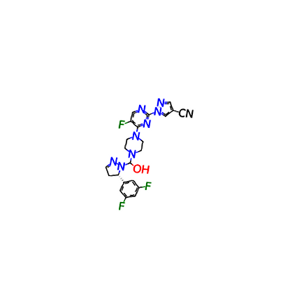 N#Cc1cnn(-c2ncc(F)c(N3CCN(C(O)N4N=CC[C@H]4c4cc(F)cc(F)c4)CC3)n2)c1